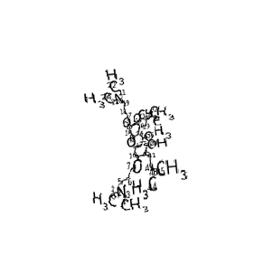 CCN(CC)CCCOc1cc2oc3cc(OCCCN(CC)CC)c(OC)c(CC=C(C)C)c3c(=O)c2c(O)c1CC=C(C)C